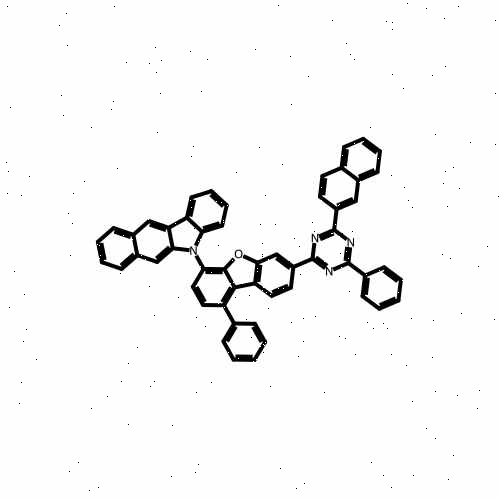 c1ccc(-c2nc(-c3ccc4ccccc4c3)nc(-c3ccc4c(c3)oc3c(-n5c6ccccc6c6cc7ccccc7cc65)ccc(-c5ccccc5)c34)n2)cc1